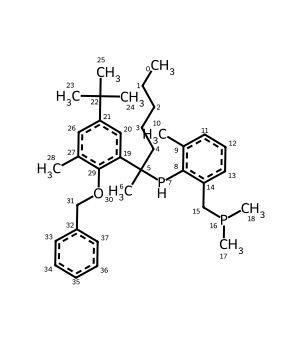 CCCCCC(C)(Pc1c(C)cccc1CP(C)C)c1cc(C(C)(C)C)cc(C)c1OCc1ccccc1